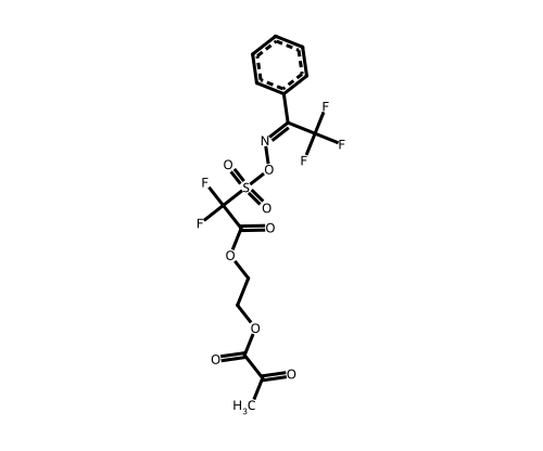 CC(=O)C(=O)OCCOC(=O)C(F)(F)S(=O)(=O)O/N=C(/c1ccccc1)C(F)(F)F